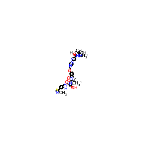 Cc1ncsc1-c1ccc(CNC(=O)[C@@H]2CC(O)CN2C(=O)[C@H](C(C)C)N2Cc3ccc(OCCN4CCN(c5ccc(C(=O)NC6C(C)(C)CC6(C)C)cn5)CC4)cc3C2=O)cc1